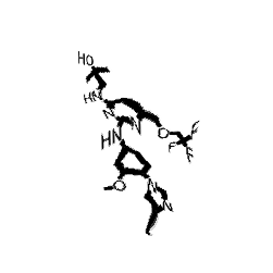 COc1cc(Nc2nc(COCC(F)(F)F)cc(NCC(C)(C)O)n2)ccc1-n1cnc(C)c1